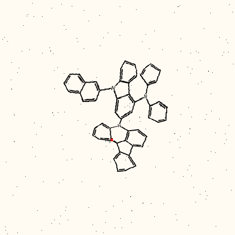 CC12c3ccccc3-c3cccc(c31)N(c1cc(N(c3ccccc3)c3ccccc3)c3c4ccccc4n(-c4ccc5ccccc5c4)c3c1)c1ccccc12